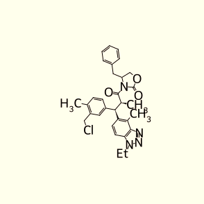 CCn1nnc2c(C)c([C@@H](c3ccc(C)c(CCl)c3)[C@H](C)C(=O)N3C(=O)OCC3Cc3ccccc3)ccc21